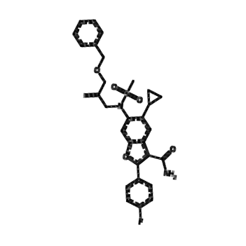 C=C(COCc1ccccc1)CN(c1cc2oc(-c3ccc(F)cc3)c(C(N)=O)c2cc1C1CC1)S(C)(=O)=O